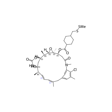 CSSCC1CCC(C(=O)O[C@H]2CC(=O)N(C)c3cc(cc(C)c3Cl)C/C(C)=C/C=C/[C@@H](C)[C@@]3(O)C[C@H](OC(=O)N3)[C@@H](C)[C@@H]3O[C@@]23C)CC1